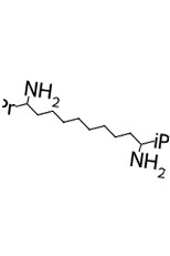 CC(C)C(N)CCCCCCCCC(N)C(C)C